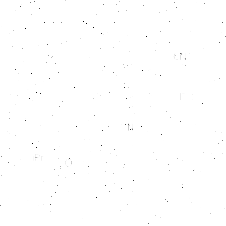 CC(C)OCCN1CC(F)(CC#N)C1